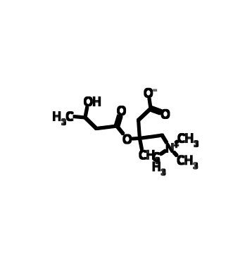 CC(O)CC(=O)OC(C)(CC(=O)[O-])C[N+](C)(C)C